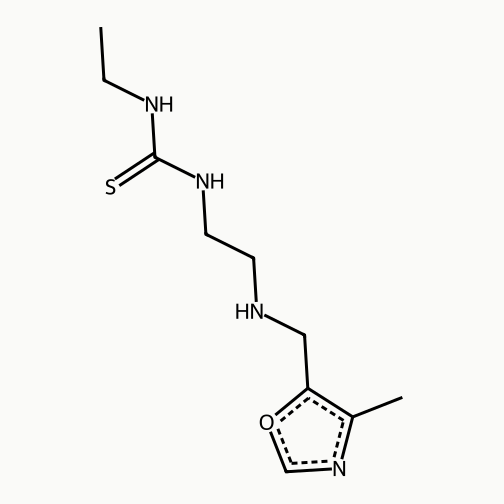 CCNC(=S)NCCNCc1ocnc1C